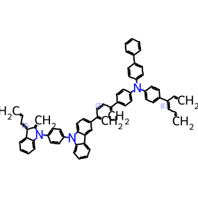 C=C/C=c1\c(=C)n(-c2ccc(-n3c4ccccc4c4cc(C(=C)/C=C\C(=C)c5ccc(N(c6ccc(/C(C=C)=C/C=C)cc6)c6ccc(-c7ccccc7)cc6)cc5)ccc43)cc2)c2ccccc12